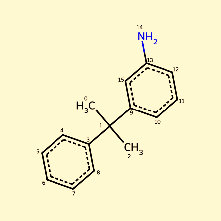 CC(C)(c1ccccc1)c1cccc(N)c1